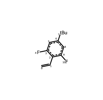 C=Cc1c(F)cc(C(C)(C)C)cc1F